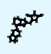 O=C1NC(=O)/C(=C\c2cc3cncc(-c4ccc5[nH]ccc5c4)c3o2)S1